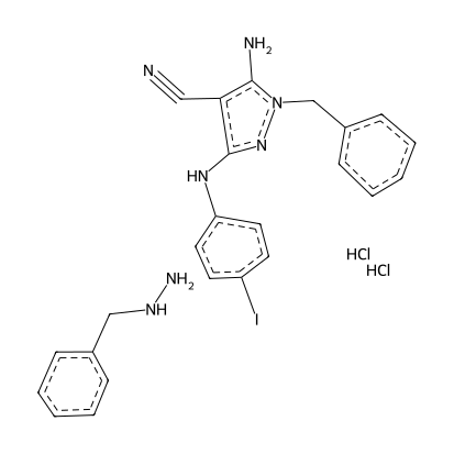 Cl.Cl.N#Cc1c(Nc2ccc(I)cc2)nn(Cc2ccccc2)c1N.NNCc1ccccc1